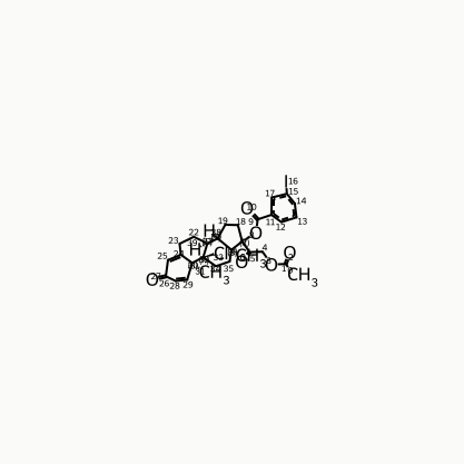 CC(=O)OCC(=O)[C@@]1(OC(=O)c2cccc(I)c2)CC[C@H]2[C@@H]3CCC4=CC(=O)C=C[C@]4(C)[C@@]3(Cl)CC[C@@]21C